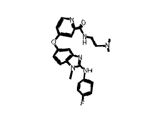 CN(C)CCNC(=O)c1cc(Oc2ccc3c(c2)nc(Nc2ccc(F)cc2)n3C)ccn1